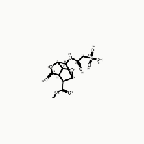 COC(=O)C1C2OC3C(OC(=O)C31)C2OC(=O)CS(=O)(=O)O